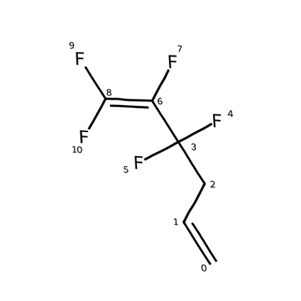 C=CCC(F)(F)C(F)=C(F)F